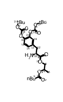 CCCCC(=O)OC(C)COC(=O)[C@@H](N)Cc1ccc(OC(=O)OC(C)(C)C)c(OC(=O)OC(C)(C)C)c1